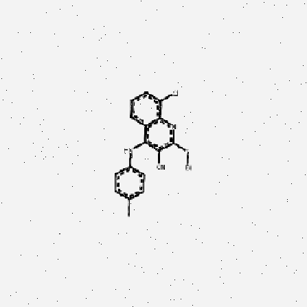 CCSc1nc2c(Cl)cccc2c(Nc2ccc(C)cc2)c1C#N